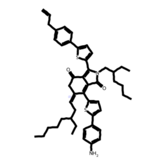 C=CCc1ccc(-c2ccc(C3=C4C(=O)C/C(=C/CC(CC)CCCCC)C(c5ccc(-c6ccc(N)cc6)s5)=C4C(=O)N3CC(CC)CCCC)s2)cc1